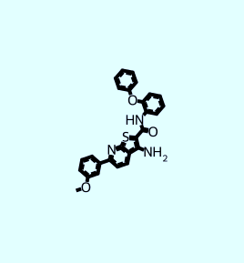 COc1cccc(-c2ccc3c(N)c(C(=O)Nc4ccccc4Oc4ccccc4)sc3n2)c1